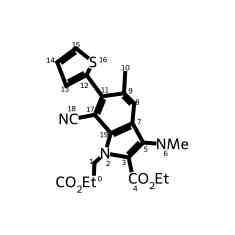 CCOC(=O)Cn1c(C(=O)OCC)c(NC)c2cc(C)c(-c3cccs3)c(C#N)c21